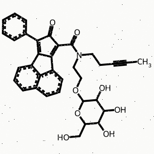 CC#CCCN(CCOC1OC(CO)C(O)C(O)C1O)C(=O)C1=C2C(=C(c3ccccc3)C1=O)c1cccc3cccc2c13